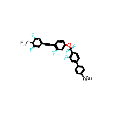 CCCCc1ccc(-c2ccc(C(F)(F)Oc3ccc(C#CC4=CC(F)C(C(F)(F)F)C(F)=C4)c(F)c3)c(F)c2)cc1